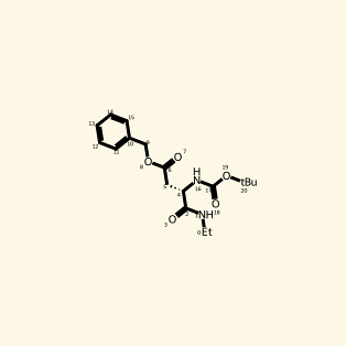 CCNC(=O)[C@H](CC(=O)OCc1ccccc1)NC(=O)OC(C)(C)C